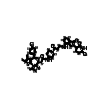 Cc1sc2c(c1C)C(c1ccc(Cl)cc1)=N[C@@H](CC(=O)NN1CCN(C(=O)CCNc3cccc4c3CN(C3CCC(=O)NC3=O)C4=O)CC1)c1nnc(C)n1-2